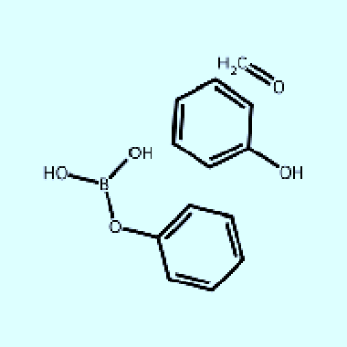 C=O.OB(O)Oc1ccccc1.Oc1ccccc1